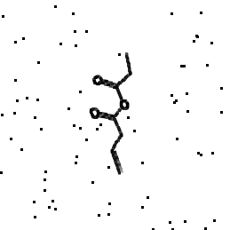 C=CCC(=O)OC(=O)CC